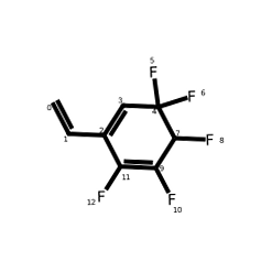 C=CC1=CC(F)(F)C(F)C(F)=C1F